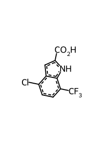 O=C(O)c1cc2c(Cl)ccc(C(F)(F)F)c2[nH]1